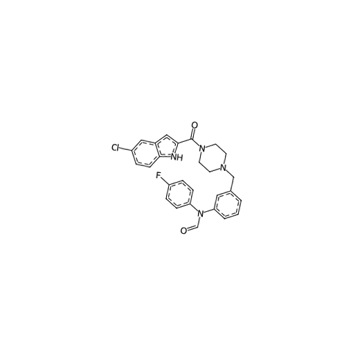 O=CN(c1ccc(F)cc1)c1cccc(CN2CCN(C(=O)c3cc4cc(Cl)ccc4[nH]3)CC2)c1